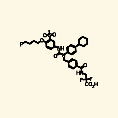 CS(=O)(=O)c1cc(NC(=O)N(Cc2ccc(C(=O)NCC(F)(F)C(=O)O)cc2)c2ccc(C3CCCCC3)cc2)ccc1OCCCCF